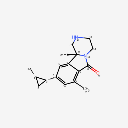 C[C@H]1C[C@H]1c1cc2c(c(C(F)(F)F)c1)C(=O)N1CCNC[C@@H]21